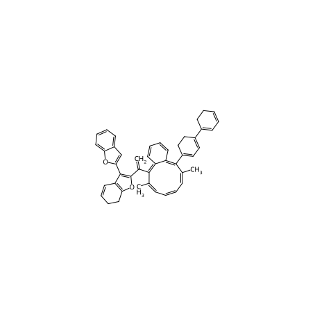 C=C(c1oc2c(c1-c1cc3ccccc3o1)C=CCC2)c1c(C)ccccc(C)c(C2=CC=C(C3=CC=CCC3)CC2)c2ccccc12